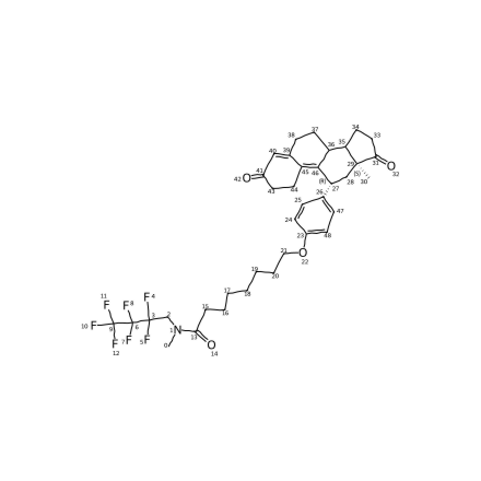 CN(CC(F)(F)C(F)(F)C(F)(F)F)C(=O)CCCCCCCOc1ccc([C@H]2C[C@]3(C)C(=O)CCC3C3CCC4=CC(=O)CCC4=C32)cc1